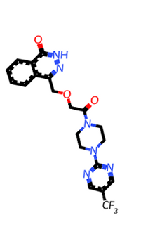 O=C(COCc1n[nH]c(=O)c2ccccc12)N1CCN(c2ncc(C(F)(F)F)cn2)CC1